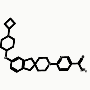 NC(=O)c1ccc(N2CCC3(CC2)Cc2ccc(OC4CCN(C5CCC5)CC4)cc2C3)nc1